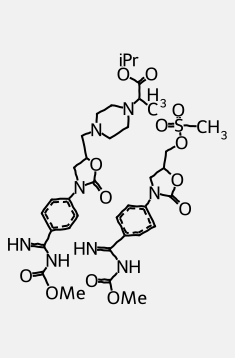 COC(=O)NC(=N)c1ccc(N2CC(CN3CCN(C(C)C(=O)OC(C)C)CC3)OC2=O)cc1.COC(=O)NC(=N)c1ccc(N2CC(COS(C)(=O)=O)OC2=O)cc1